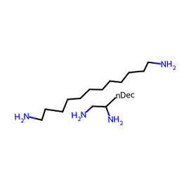 CCCCCCCCCCC(N)CN.NCCCCCCCCCCCCN